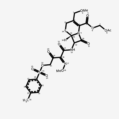 COCC1=C(C(=O)OCOC(C)=O)N2C(=O)C(NC(=O)C(=NOC)C(=O)COS(=O)(=O)c3ccc(C)cc3)[C@@H]2SC1